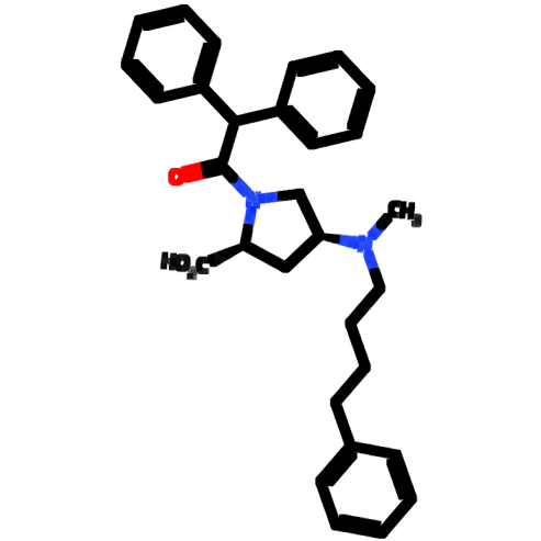 CN(CCCCc1ccccc1)[C@H]1C[C@@H](C(=O)O)N(C(=O)C(c2ccccc2)c2ccccc2)C1